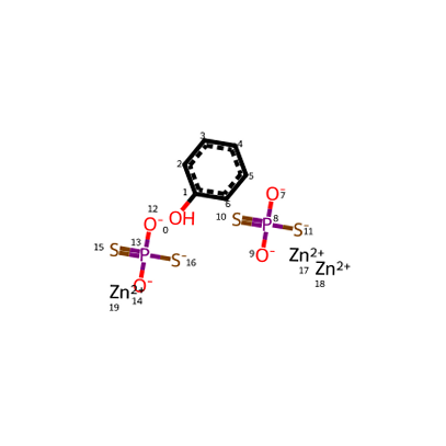 Oc1ccccc1.[O-]P([O-])(=S)[S-].[O-]P([O-])(=S)[S-].[Zn+2].[Zn+2].[Zn+2]